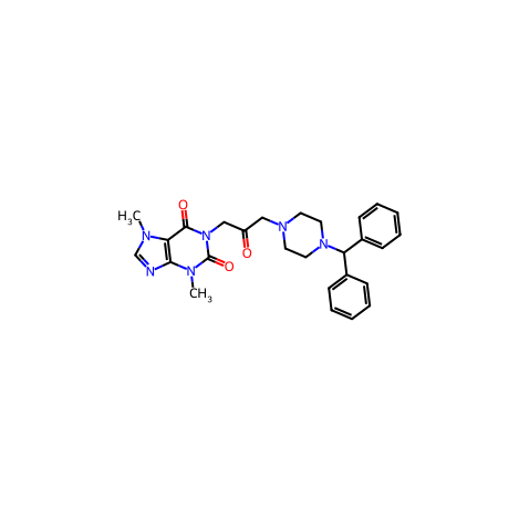 Cn1cnc2c1c(=O)n(CC(=O)CN1CCN(C(c3ccccc3)c3ccccc3)CC1)c(=O)n2C